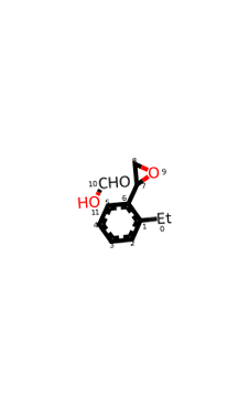 CCc1ccccc1C1CO1.O=CO